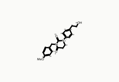 COc1ccc(CN2C(=O)CCN(c3ccc(CCO)cc3)C2=O)cc1